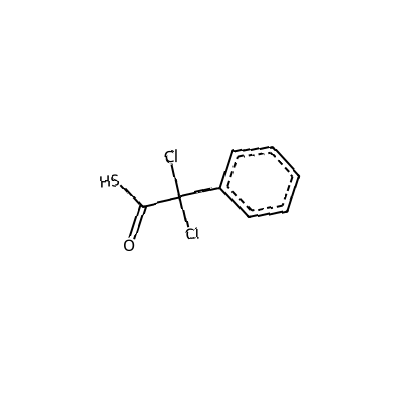 O=C(S)C(Cl)(Cl)c1ccccc1